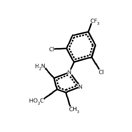 Cc1nn(-c2c(Cl)cc(C(F)(F)F)cc2Cl)c(N)c1C(=O)O